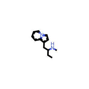 CCC(Cc1ccn2ccccc12)NC